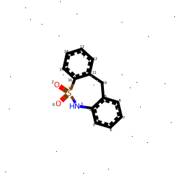 O=S1(=O)Nc2ccccc2Cc2ccccc21